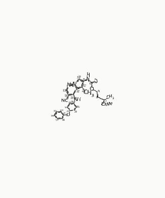 COC(C)CCOC(=O)Nc1cn2ncc(C#N)c(Nc3ccc(Oc4ccccc4)cc3)c2c1C